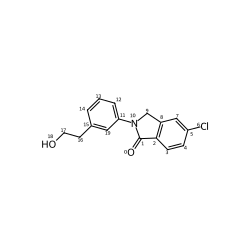 O=C1c2ccc(Cl)cc2CN1c1cccc(CCO)c1